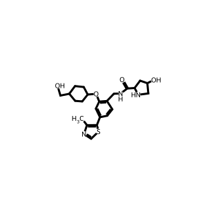 Cc1ncsc1-c1ccc(CNC(=O)C2CC(O)CN2)c(OC2CCC(CO)CC2)c1